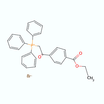 CCOC(=O)c1ccc(C(=O)C[P+](c2ccccc2)(c2ccccc2)c2ccccc2)cc1.[Br-]